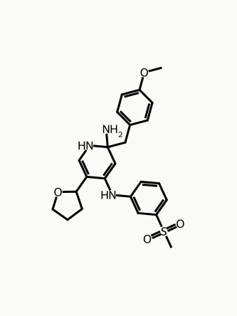 COc1ccc(CC2(N)C=C(Nc3cccc(S(C)(=O)=O)c3)C(C3CCCO3)=CN2)cc1